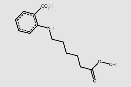 O=C(CCCCCNc1ccccc1C(=O)O)OO